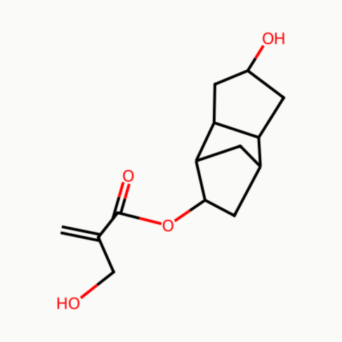 C=C(CO)C(=O)OC1CC2CC1C1CC(O)CC21